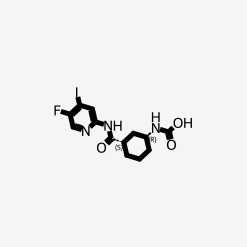 O=C(O)N[C@@H]1CCC[C@H](C(=O)Nc2cc(I)c(F)cn2)C1